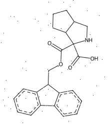 O=C(O)C1(C(=O)OCC2c3ccccc3-c3ccccc32)NCC2CCCC21